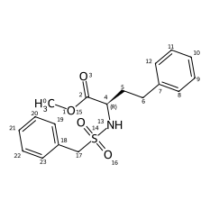 COC(=O)[C@@H](CCc1ccccc1)NS(=O)(=O)Cc1ccccc1